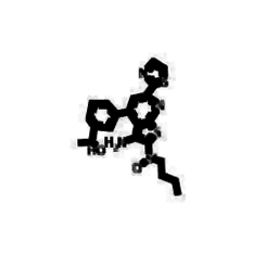 CCCC[S+]([O-])c1sc2nc(-c3nccs3)cc(-c3cccc(C(C)O)c3)c2c1N